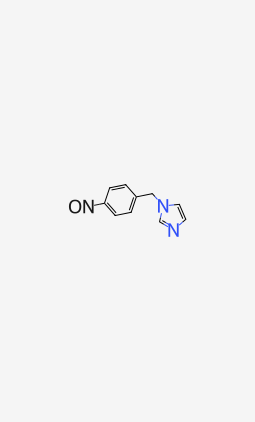 O=Nc1ccc(Cn2ccnc2)cc1